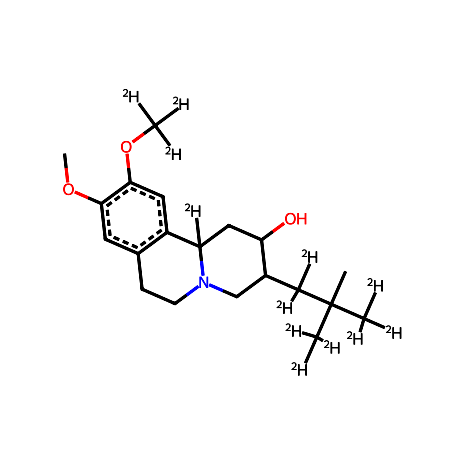 [2H]C([2H])([2H])Oc1cc2c(cc1OC)CCN1CC(C([2H])([2H])C(C)(C([2H])([2H])[2H])C([2H])([2H])[2H])C(O)CC21[2H]